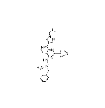 CC(C)Cn1cc(-c2nccc3c(NC[C@@H](N)Cc4ccccc4)nc(-c4ccncc4)nc23)cn1